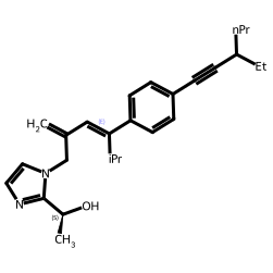 C=C(/C=C(/c1ccc(C#CC(CC)CCC)cc1)C(C)C)Cn1ccnc1[C@H](C)O